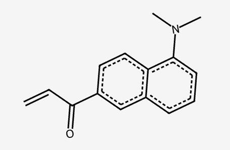 C=CC(=O)c1ccc2c(N(C)C)cccc2c1